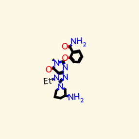 CCn1c(N2CCCC(N)C2)nc2nc(Oc3ccccc3C(N)=O)n(C)c(=O)c21